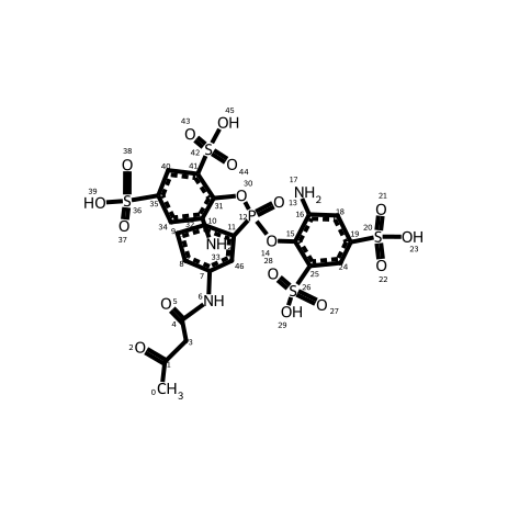 CC(=O)CC(=O)Nc1cccc(P(=O)(Oc2c(N)cc(S(=O)(=O)O)cc2S(=O)(=O)O)Oc2c(N)cc(S(=O)(=O)O)cc2S(=O)(=O)O)c1